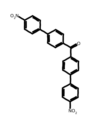 O=C(c1ccc(-c2ccc([N+](=O)[O-])cc2)cc1)c1ccc(-c2ccc([N+](=O)[O-])cc2)cc1